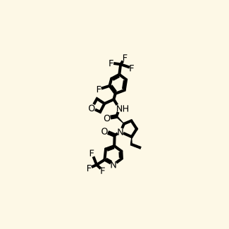 CC[C@@H]1CC[C@H](C(=O)NC(c2ccc(C(F)(F)F)cc2F)C2COC2)N1C(=O)c1ccnc(C(F)(F)F)c1